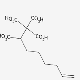 C=CCCCCC(C(=O)O)C(C(=O)O)(C(=O)O)C(=O)O